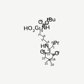 CC(C)CC(NCCCC[C@H](NC(=O)OC(C)(C)C)C(=O)O)=C1C(=O)CC(C)(C)CC1=O